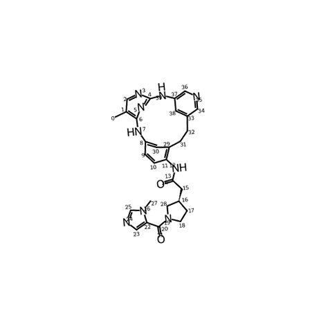 Cc1cnc2nc1Nc1ccc(NC(=O)C[C@H]3CCN(C(=O)c4cncn4C)C3)c(c1)CCc1cncc(c1)N2